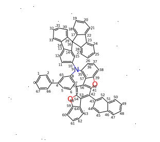 c1ccc(-c2cccc(N(c3ccc4c(c3)C3(c5ccccc5-c5ccccc53)c3ccccc3-4)c3cccc4oc5c(-c6ccc7ccccc7c6)c6c(cc5c34)oc3ccccc36)c2)cc1